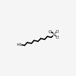 SCCCCCCCCC[Si](Cl)(Cl)Cl